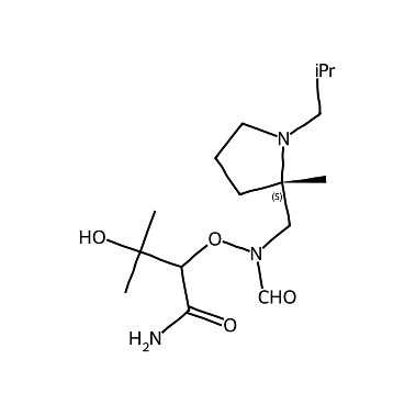 CC(C)CN1CCC[C@@]1(C)CN(C=O)OC(C(N)=O)C(C)(C)O